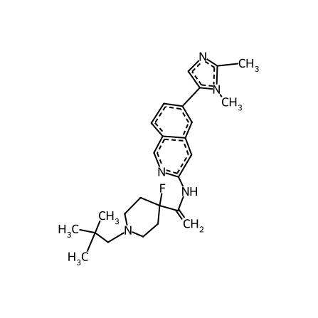 C=C(Nc1cc2cc(-c3cnc(C)n3C)ccc2cn1)C1(F)CCN(CC(C)(C)C)CC1